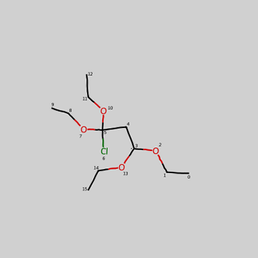 CCO[C](CC(Cl)(OCC)OCC)OCC